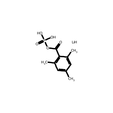 Cc1cc(C)c(C(=O)OP(=O)(O)O)c(C)c1.[LiH]